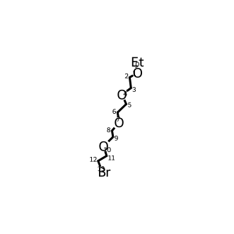 CCOCCOCCOCCOCCBr